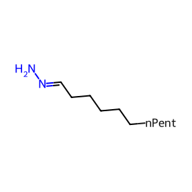 CCCCCCCCCCC=NN